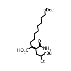 CCCCCCCCCCCCCCCCCC/C(C(=O)O)=C(/CC(CC)CCCC)C(N)=O